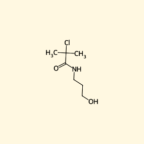 CC(C)(Cl)C(=O)NCCCO